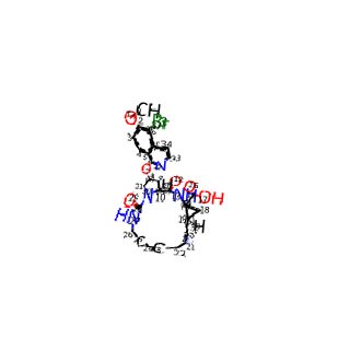 COc1ccc2c(O[C@@H]3C[C@H]4C(=O)N[C@]5(C(=O)O)C[C@H]5/C=C\CCCCCNC(=O)N4C3)nccc2c1Br